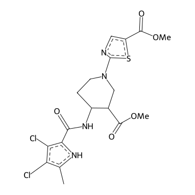 COC(=O)c1cnc(N2CCC(NC(=O)c3[nH]c(C)c(Cl)c3Cl)C(C(=O)OC)C2)s1